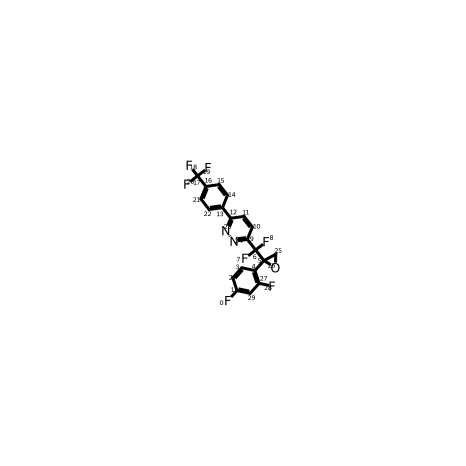 Fc1ccc(C2(C(F)(F)c3ccc(-c4ccc(C(F)(F)F)cc4)nn3)CO2)c(F)c1